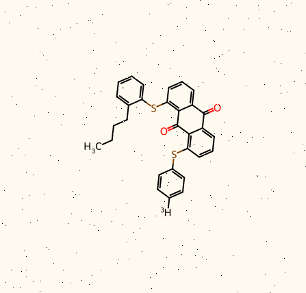 [3H]c1ccc(Sc2cccc3c2C(=O)c2c(Sc4ccccc4CCCC)cccc2C3=O)cc1